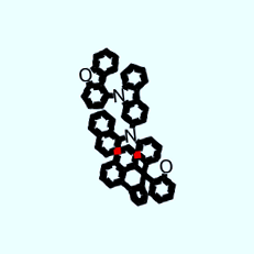 c1ccc2c(c1)Oc1ccc(N(c3ccc4c5ccccc5n(-c5cccc6oc7ccccc7c56)c4c3)c3cccc4ccccc34)cc1C21c2ccccc2-c2cccc3cccc1c23